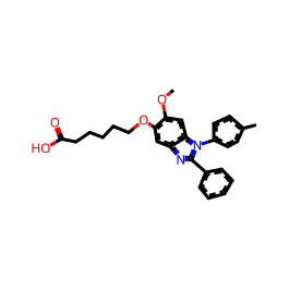 COc1cc2c(cc1OCCCCCC(=O)O)nc(-c1ccccc1)n2-c1ccc(C)cc1